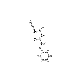 CC(N=[N+]=[N-])OC(=O)NCc1ccccc1